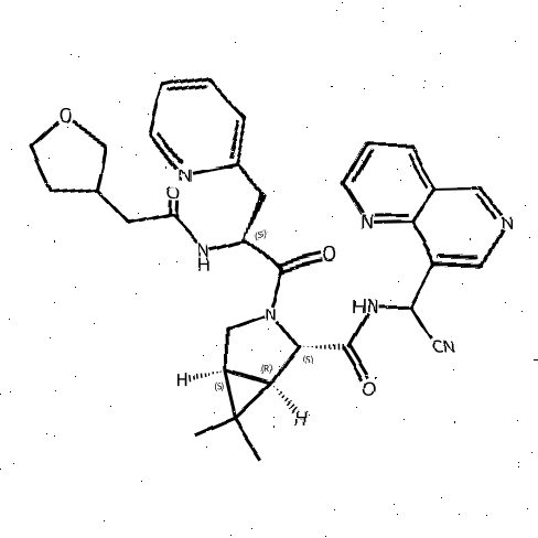 CC1(C)[C@@H]2[C@@H](C(=O)NC(C#N)c3cncc4cccnc34)N(C(=O)[C@H](Cc3ccccn3)NC(=O)CC3CCOC3)C[C@@H]21